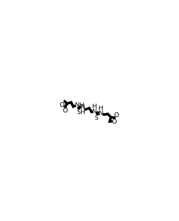 O=C1OCC1CCNC(=S)NCCCNC(=S)NCCC1COC1=O